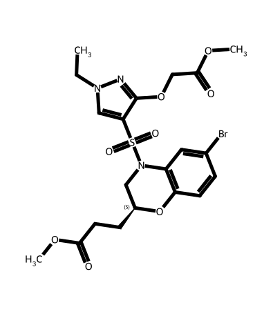 CCn1cc(S(=O)(=O)N2C[C@H](CCC(=O)OC)Oc3ccc(Br)cc32)c(OCC(=O)OC)n1